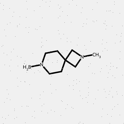 BN1CCC2(CC1)CN(C)C2